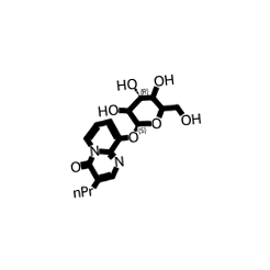 CCCc1cnc2c(O[C@@H]3OC(CO)C(O)[C@@H](O)C3O)cccn2c1=O